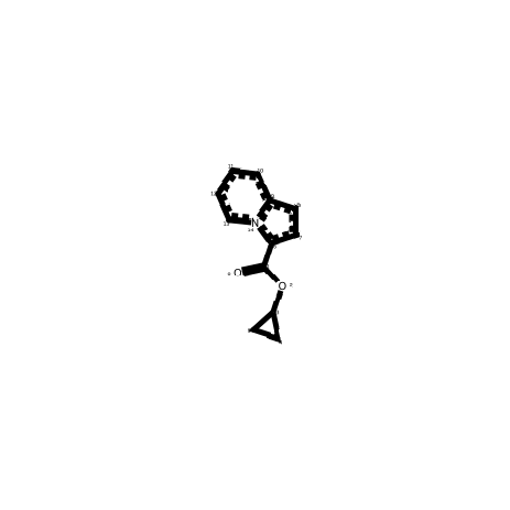 O=C(OC1CC1)c1ccc2ccccn12